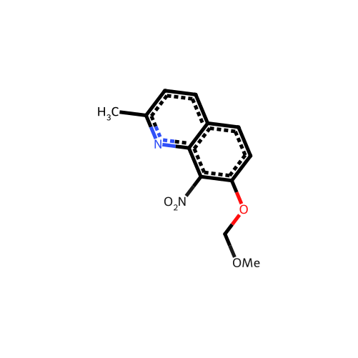 COCOc1ccc2ccc(C)nc2c1[N+](=O)[O-]